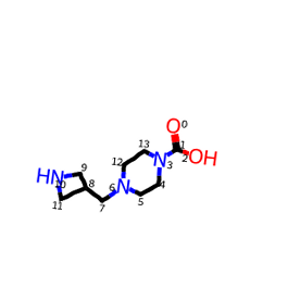 O=C(O)N1CCN(CC2CNC2)CC1